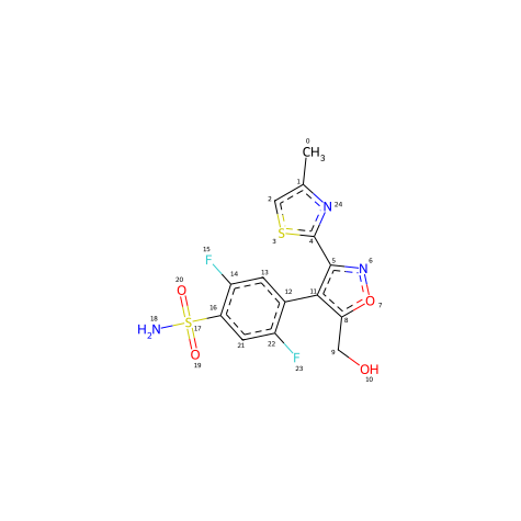 Cc1csc(-c2noc(CO)c2-c2cc(F)c(S(N)(=O)=O)cc2F)n1